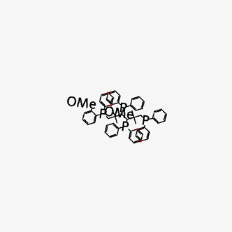 COc1ccccc1P(CC(C)(C)C(C(P(c1ccccc1)c1ccccc1)C(C)(C)CP(c1ccccc1)c1ccccc1)P(c1ccccc1)c1ccccc1OC)c1ccccc1